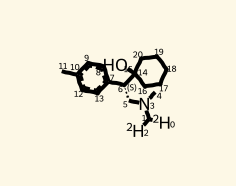 [2H]C([2H])N(C)C[C@H](c1ccc(C)cc1)C1(O)CCCCC1